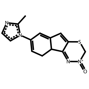 Cc1nccn1C1=CCC2C(=C1)C=C1SC[N+](=O)N=C12